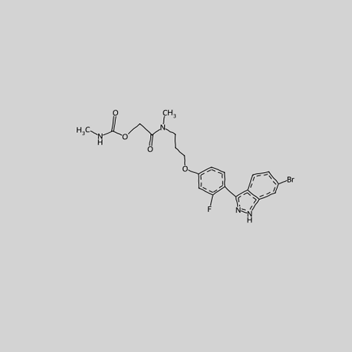 CNC(=O)OCC(=O)N(C)CCCOc1ccc(-c2n[nH]c3cc(Br)ccc23)c(F)c1